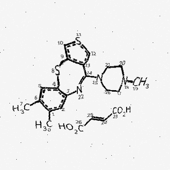 Cc1cc2c(cc1C)Sc1cscc1C(N1CCN(C)CC1)=N2.O=C(O)/C=C/C(=O)O